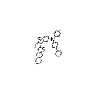 c1ccc(-c2ccc(N(c3ccccc3)c3ccc4sc5ccc6c7cc8ccccc8cc7sc6c5c4c3)cc2)cc1